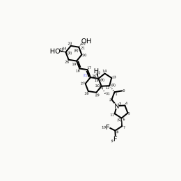 CC(CN1CC[C@@H](CC(F)F)C1)[C@H]1CC[C@H]2/C(=C/C=C3C[C@@H](O)C[C@H](O)C3)CCC[C@]12C